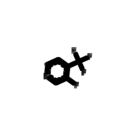 Fc1cn[c]cc1C(F)(F)F